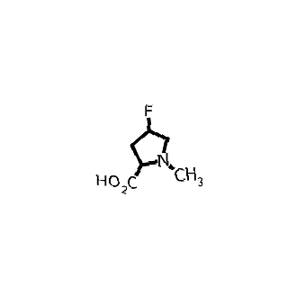 CN1CC(F)CC1C(=O)O